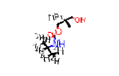 [2H]C([2H])([2H])C([2H])(NC(=O)OCC(C)(CO)CCC)C([2H])([2H])[2H]